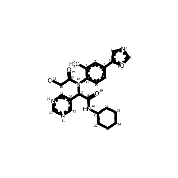 Cc1cc(-c2cnco2)ccc1N(C(=O)CCl)C(C(=O)NC1CCCCC1)c1cncnc1